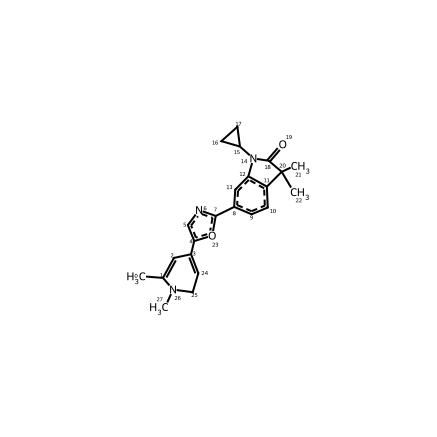 CC1=CC(c2cnc(-c3ccc4c(c3)N(C3CC3)C(=O)C4(C)C)o2)=CCN1C